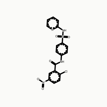 O=C(Nc1ccc(S(=O)(=O)Nc2ccccn2)cc1)c1cc([N+](=O)[O-])ccc1Cl